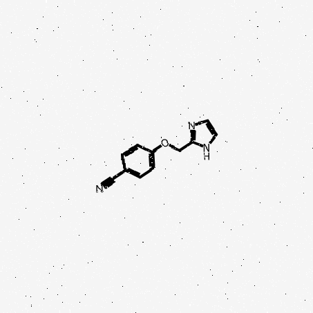 N#Cc1ccc(OCc2ncc[nH]2)cc1